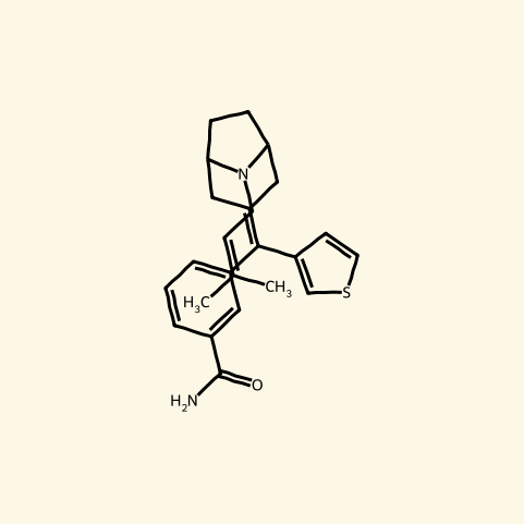 CC(C)=CCN1C2CCC1CC(=C(c1ccsc1)c1cccc(C(N)=O)c1)C2